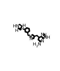 Nc1cc(Cc2cnn(Cc3cccc(N4C[C@@H]5C[C@H]4CN5)c3)c2)c2nn[nH]c2n1